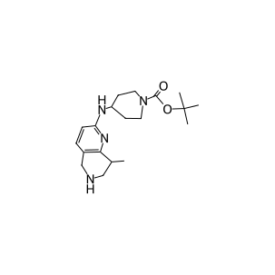 CC1CNCc2ccc(NC3CCN(C(=O)OC(C)(C)C)CC3)nc21